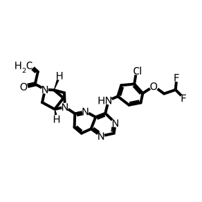 C=CC(=O)N1C[C@@H]2C[C@H]1CN2c1ccc2ncnc(Nc3ccc(OCC(F)F)c(Cl)c3)c2n1